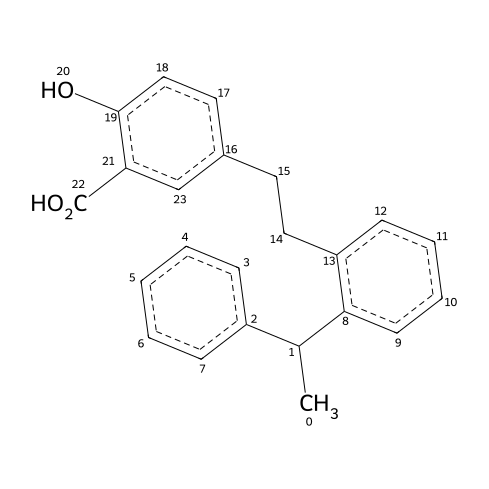 CC(c1ccccc1)c1ccccc1CCc1ccc(O)c(C(=O)O)c1